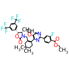 CCOC(=O)c1ccc(-c2ncc(OC)c(C3=C(CN4C(=O)O[C@H](c5cc(C(F)(F)F)cc(C(F)(F)F)c5)[C@@H]4C)CC(C)(C)CC3)n2)cc1F